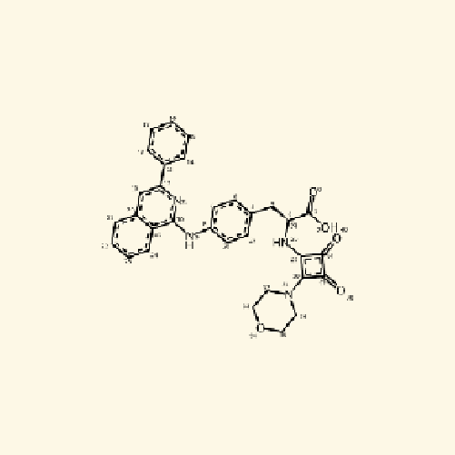 O=C(O)[C@H](Cc1ccc(Nc2nc(-c3ccccc3)cc3ccccc23)cc1)Nc1c(N2CCOCC2)c(=O)c1=O